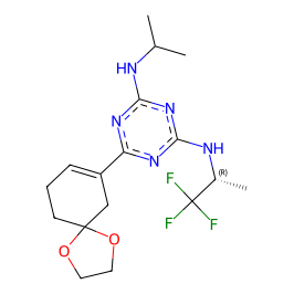 CC(C)Nc1nc(N[C@H](C)C(F)(F)F)nc(C2=CCCC3(C2)OCCO3)n1